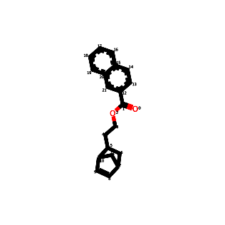 O=C(OCCC1CC2C=CC1C2)c1ccc2ccccc2c1